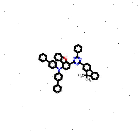 CC1(C)c2ccccc2-c2ccc(-c3nc(-c4ccccc4)nc(-c4ccc(N(c5ccc(-c6ccccc6)cc5)c5ccc(-c6ccccc6)cc5)c5c4oc4ccccc45)n3)cc21